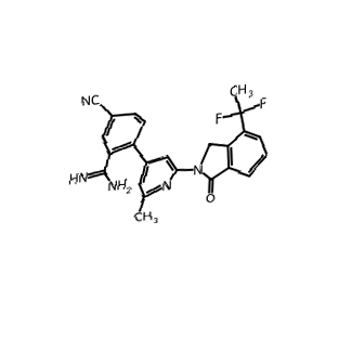 Cc1cc(-c2ccc(C#N)cc2C(=N)N)cc(N2Cc3c(cccc3C(C)(F)F)C2=O)n1